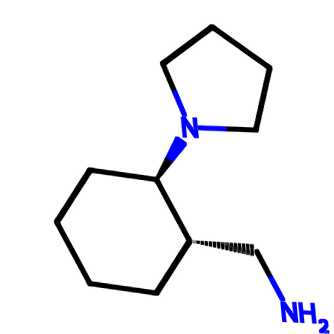 NC[C@@H]1CCCC[C@H]1N1CCCC1